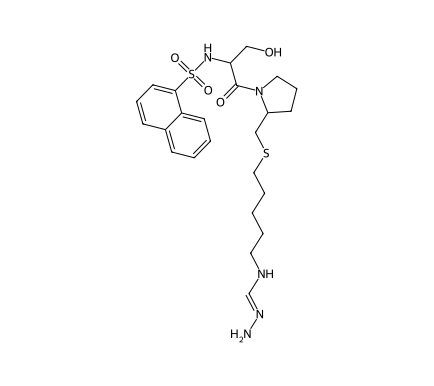 NN=CNCCCCCSCC1CCCN1C(=O)C(CO)NS(=O)(=O)c1cccc2ccccc12